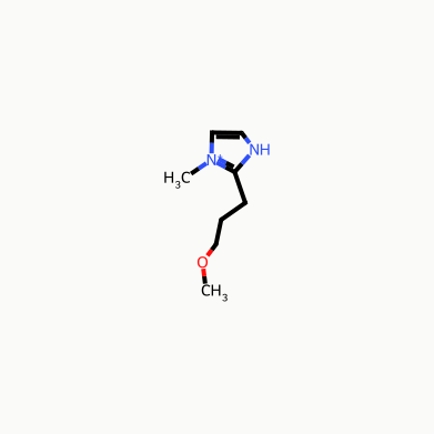 COCCCc1[nH]cc[n+]1C